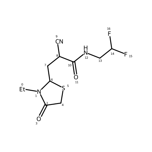 CCN1C(=O)CSC1CC(C#N)C(=O)NCC(F)F